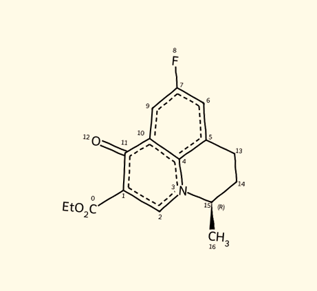 CCOC(=O)c1cn2c3c(cc(F)cc3c1=O)CC[C@H]2C